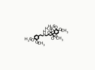 COC(=O)C(CCCNCCc1ccc(OC)c(OC)c1)(C(=O)OC)c1ccc(OC)c(OC)c1